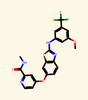 CNC(=O)c1cc(Oc2ccc3nc(Nc4cc(OC)cc(C(F)(F)F)c4)sc3c2)ccn1